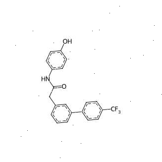 O=C(Cc1cccc(-c2ccc(C(F)(F)F)cc2)c1)Nc1c[c]c(O)cc1